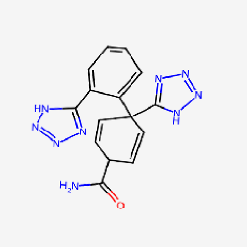 NC(=O)C1C=CC(c2nnn[nH]2)(c2ccccc2-c2nnn[nH]2)C=C1